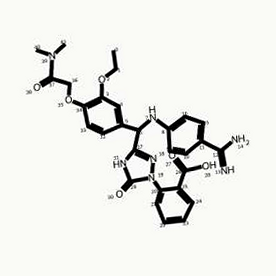 CCOc1cc(C(Nc2ccc(C(=N)N)cc2)c2nn(-c3ccccc3C(=O)O)c(=O)[nH]2)ccc1OCC(=O)N(C)C